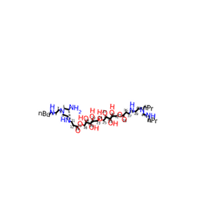 CCCCNCCN(CCN)CCNCCC(=O)OCC(O)C(O)C(O)COCC(O)C(O)C(O)COC(=O)CCNCCN(CCC)CNCCC